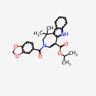 CC(C)OC(=O)C1=CN(C(=O)c2ccc3c(c2)OCO3)CC(C)(C)c2c1[nH]c1ccccc21